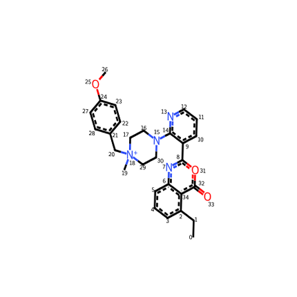 CCc1cccc2nc(-c3cccnc3N3CC[N+](C)(Cc4ccc(OC)cc4)CC3)oc(=O)c12